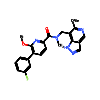 CCOc1nc(C(=O)N(C)Cc2c(OC)ncc3cn[nH]c23)ccc1-c1cccc(F)c1